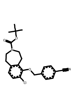 CC(C)(C)OC(=O)N1CCc2ccc(Cl)c(OCc3ccc(C#N)cc3)c2CC1